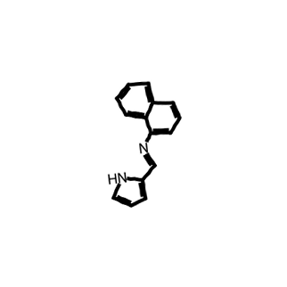 C(=N\c1cccc2ccccc12)/c1ccc[nH]1